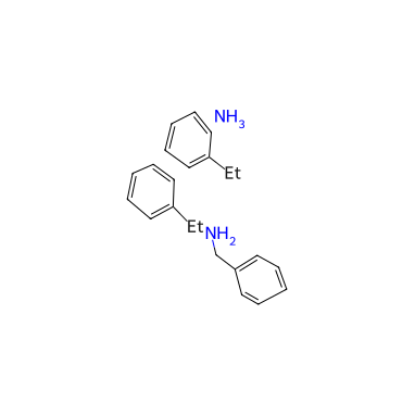 CCc1ccccc1.CCc1ccccc1.N.NCc1ccccc1